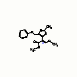 CO/C=C(/C(=O)OC)c1sc(C)nc1COc1ccccc1